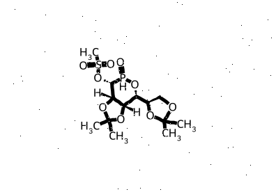 CC1(C)O[C@H]2[C@@H]([C@H]3COC(C)(C)O3)O[PH](=O)[C@@H](OS(C)(=O)=O)[C@H]2O1